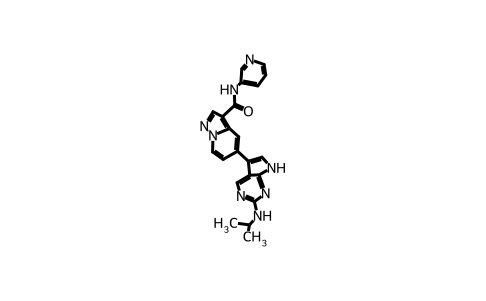 CC(C)Nc1ncc2c(-c3ccn4ncc(C(=O)Nc5cccnc5)c4c3)c[nH]c2n1